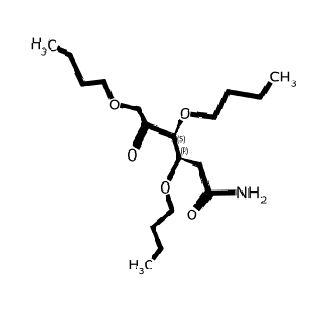 CCCCOCC(=O)[C@@H](OCCCC)[C@@H](CC(N)=O)OCCCC